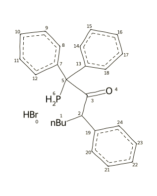 Br.CCCCC(C(=O)C(P)(c1ccccc1)c1ccccc1)c1ccccc1